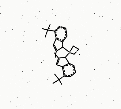 CC1=Cc2c(cccc2C(C)(C)C)C1[Si]1(C2C(C)=Cc3c2cccc3C(C)(C)C)CCC1